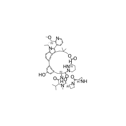 CCn1c(-c2cccnc2[C@H](C)OC)c2c3cc(ccc31)-c1cc(O)cc(c1)C[C@H](NC(=O)C(C(C)C)N(C)C(=O)[C@H]1CCN1C(=O)[C@H]1CN1)C(=O)N1CCC[C@H](N1)C(=O)OCC(C)(C)C2